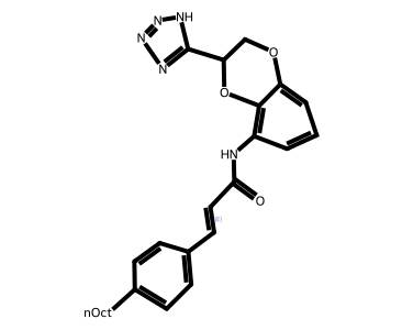 CCCCCCCCc1ccc(/C=C/C(=O)Nc2cccc3c2OC(c2nnn[nH]2)CO3)cc1